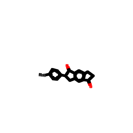 COc1ccc(C2Cc3cc4c(cc3C2=O)CCC4=O)cc1